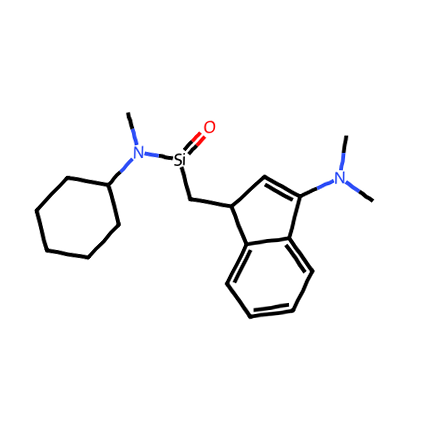 CN(C)C1=CC(C[Si](=O)N(C)C2CCCCC2)c2ccccc21